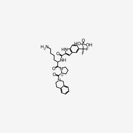 NCCCCC(NC(=O)c1cc2cc(C(F)(F)P(=O)(O)O)ccc2[nH]1)C(=O)N1CCC[C@H]1C(=O)N1CCc2ccccc2C1